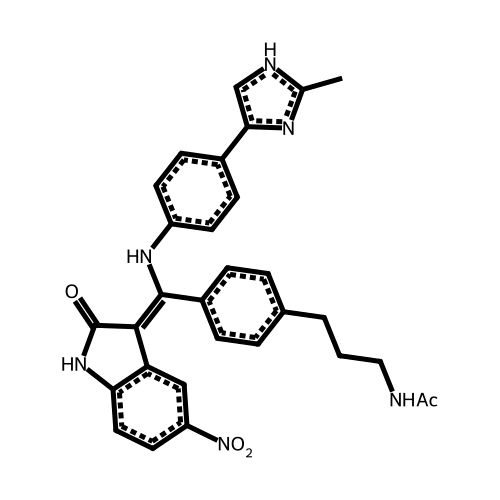 CC(=O)NCCCc1ccc(/C(Nc2ccc(-c3c[nH]c(C)n3)cc2)=C2/C(=O)Nc3ccc([N+](=O)[O-])cc32)cc1